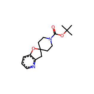 CC(C)(C)OC(=O)N1CCC2(CC1)Cc1ncccc1O2